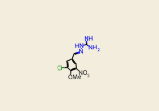 COc1c(Cl)cc(C=NNC(=N)N)cc1[N+](=O)[O-]